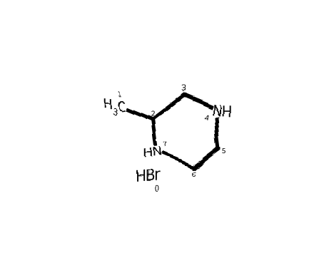 Br.CC1CNCCN1